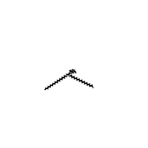 CCCCCCCCCCCCCCCCCCOCC(COP(=O)(S)OCC)OCCCCCCCCCCCCCCCCCC